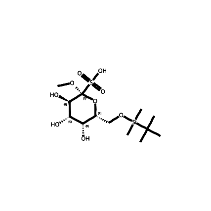 CO[C@]1(S(=O)(=O)O)O[C@H](CO[Si](C)(C)C(C)(C)C)[C@H](O)[C@H](O)[C@H]1O